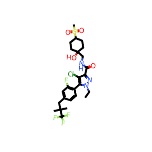 CCn1nc(C(=O)NCC2(O)CCC(S(C)(=O)=O)CC2)c(Cl)c1-c1ccc(CC(C)(C)C(F)(F)F)cc1F